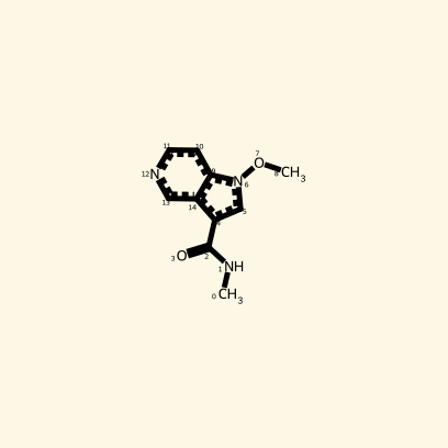 CNC(=O)c1cn(OC)c2ccncc12